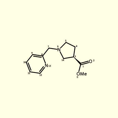 COC(=O)[C@@H]1CCN(Cc2ccccn2)C1